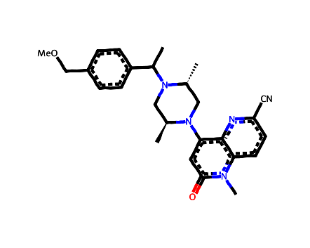 COCc1ccc(C(C)N2C[C@H](C)N(c3cc(=O)n(C)c4ccc(C#N)nc34)C[C@H]2C)cc1